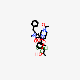 CC(=O)N1CC2CC(c3cccc(CC(C)O)c3)=C(C(=O)N(C)CCc3ccccc3)[C@@H](C1)N2C(=O)OC(C)(C)C(Cl)(Cl)Cl